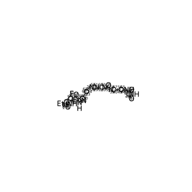 CCN(C)S(=O)(=O)Nc1ccc(F)c(C(=O)c2c[nH]c3ncc(-c4ccc(CN5CCN(C6CCN(C(=O)CN7CCC(c8ccc(NC9CCC(=O)NC9=O)cc8)CC7)CC6)CC5)cc4)cc23)c1F